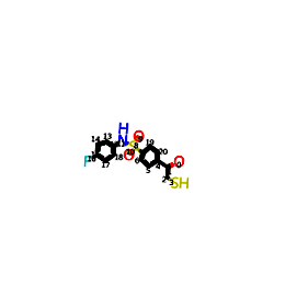 O=C(CS)c1ccc(S(=O)(=O)Nc2ccc(F)cc2)cc1